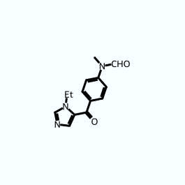 CCn1cncc1C(=O)c1ccc(N(C)C=O)cc1